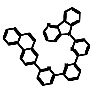 c1cc(-c2ccc3c(ccc4ccccc43)c2)nc(-c2cccc(-c3cccc(-n4c5ccccc5c5ncccc54)n3)n2)c1